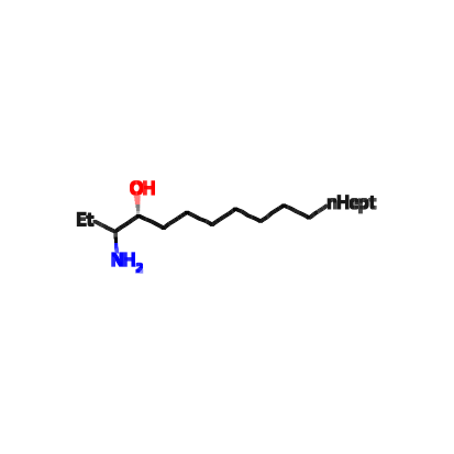 CCCCCCCCCCCCCC[C@@H](O)C(N)CC